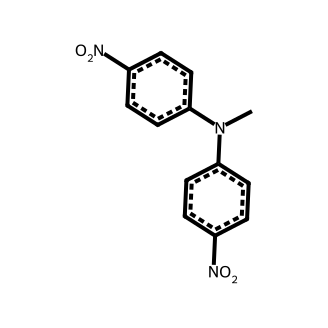 CN(c1ccc([N+](=O)[O-])cc1)c1ccc([N+](=O)[O-])cc1